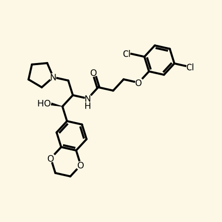 O=C(CCOc1cc(Cl)ccc1Cl)NC(CN1CCCC1)[C@H](O)c1ccc2c(c1)OCCO2